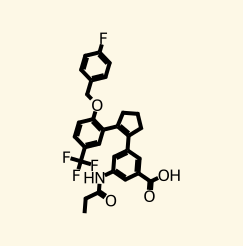 CCC(=O)Nc1cc(C(=O)O)cc(C2=C(c3cc(C(F)(F)F)ccc3OCc3ccc(F)cc3)CCC2)c1